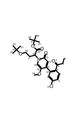 CCC(=O)c1ccc(Cl)cc1-c1cc(=O)n(C(CCOC(C)(C)C)C(=O)OC(C)(C)C)cc1OC